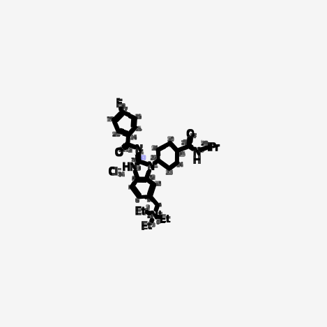 CC[N+](CC)(CC)Cc1ccc2[nH]/c(=N\C(=O)c3ccc(F)cc3)n(C3CCC(C(=O)NC(C)C)CC3)c2c1.[Cl-]